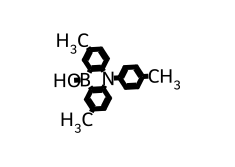 Cc1ccc(N2c3ccc(C)cc3B(O)c3cc(C)ccc32)cc1